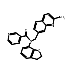 Nc1ccc2ccc(CN(C(=O)c3cccnc3)c3cccc4c3OCC4)cc2n1